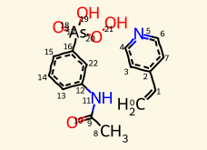 C=Cc1ccncc1.CC(=O)Nc1cccc([As](=O)(O)OO)c1